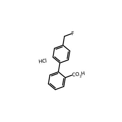 Cl.O=C(O)c1ccccc1-c1ccc(CF)cc1